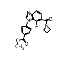 COC(=O)c1ccc(-n2cnc3ccc(C(=O)N4CCC4)c(F)c32)cc1